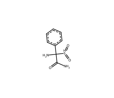 NC(=O)C(N)(c1ccccc1)[SH](=O)=O